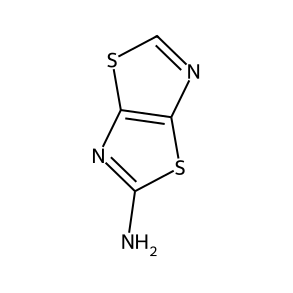 Nc1nc2scnc2s1